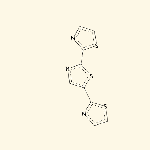 c1csc(-c2cnc(-c3nccs3)s2)n1